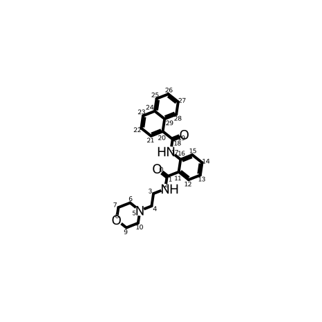 O=C(NCCN1CCOCC1)c1ccccc1NC(=O)c1cccc2ccccc12